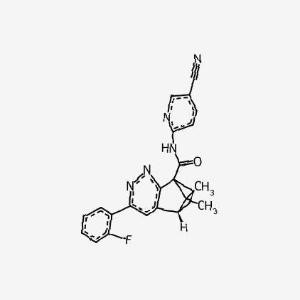 CC1(C)[C@@H]2CCC1(C(=O)Nc1ccc(C#N)cn1)c1nnc(-c3ccccc3F)cc12